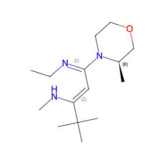 CC/N=C(\C=C(/NC)C(C)(C)C)N1CCOC[C@H]1C